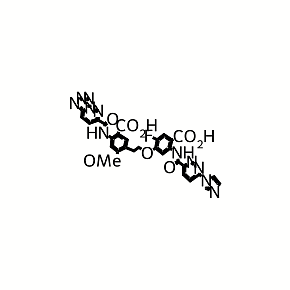 COc1cc(NC(=O)c2ccc3nnnn3n2)c(C(=O)O)cc1CCOc1cc(NC(=O)c2ccc(-n3ccnc3)nn2)c(C(=O)O)cc1F